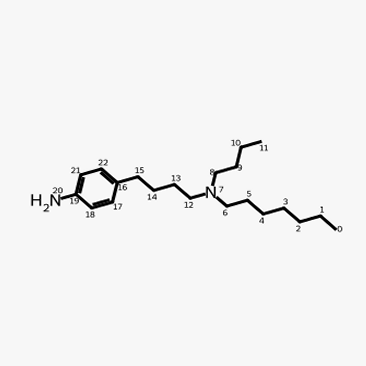 CCCCCCCN(CCCC)CCCCc1ccc(N)cc1